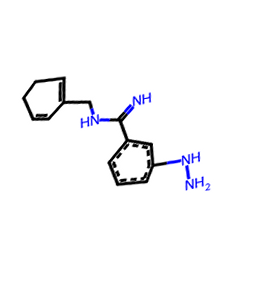 N=C(NCC1=CCCC=C1)c1cccc(NN)c1